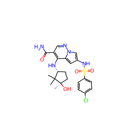 CC1(C)[C@H](Nc2c(C(N)=O)cnn3cc(NS(=O)(=O)c4ccc(Cl)cc4)cc23)CC[C@@]1(C)O